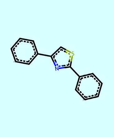 [c]1cccc(-c2csc(-c3c[c]ccc3)n2)c1